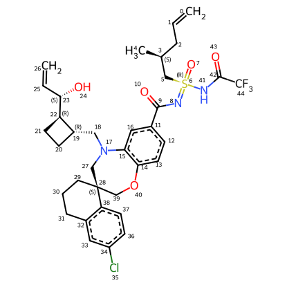 C=CC[C@H](C)C[S@](=O)(=NC(=O)c1ccc2c(c1)N(C[C@@H]1CC[C@H]1[C@@H](O)C=C)C[C@@]1(CCCc3cc(Cl)ccc31)CO2)NC(=O)C(F)(F)F